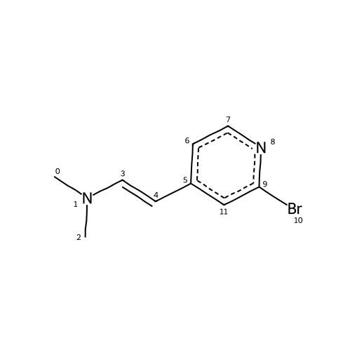 CN(C)C=Cc1ccnc(Br)c1